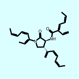 C=C/C(=C\C=C/C)C(=O)N[C@@H]1C(=O)N(C(/C=C\C=C/C)=C/C)C[C@H]1C(=C)/C=C\C=C/C